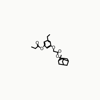 CCC(=O)Oc1cc(CC)cc(OCC(=O)OC2(C)C3CC4CC(C3)CC2C4)c1